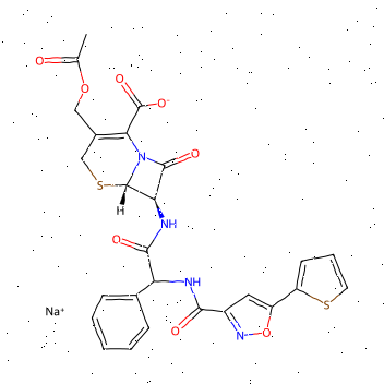 CC(=O)OCC1=C(C(=O)[O-])N2C(=O)[C@@H](NC(=O)C(NC(=O)c3cc(-c4cccs4)on3)c3ccccc3)[C@@H]2SC1.[Na+]